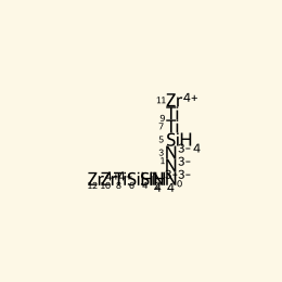 [N-3].[N-3].[N-3].[N-3].[SiH4].[SiH4].[SiH4].[Ti].[Ti].[Ti].[Zr+4].[Zr+4].[Zr+4]